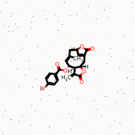 C=C1C(=O)O[C@H]2CC3=C[C@@H](C/C(C)=C/[C@@H](OC(=O)c4ccc(Br)cc4)[C@H]12)OC3=O